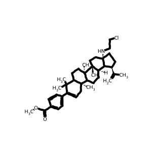 C=C(C)[C@@H]1CC[C@]2(NCCCl)CC[C@]3(C)[C@H](CCC4[C@@]5(C)CC=C(c6ccc(C(=O)OC)cc6)C(C)(C)C5CC[C@]43C)C12